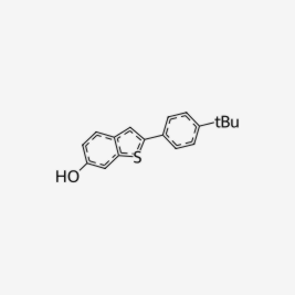 CC(C)(C)c1ccc(-c2cc3ccc(O)cc3s2)cc1